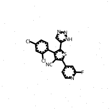 N#Cc1c(-c2ccnc(F)c2)sc(-c2cnn[nH]2)c1-c1ccc(Cl)cc1Cl